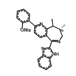 COc1ccccc1-c1ccc2c(n1)C(C)[C@H](C)CN=C2c1nc2ccccc2[nH]1